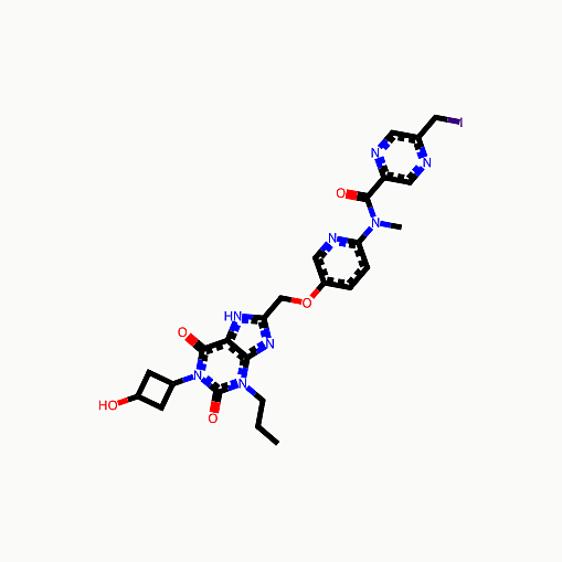 CCCn1c(=O)n(C2CC(O)C2)c(=O)c2[nH]c(COc3ccc(N(C)C(=O)c4cnc(CI)cn4)nc3)nc21